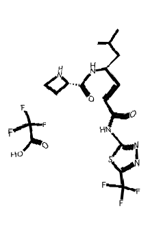 CC(C)C[C@@H](/C=C/C(=O)Nc1nnc(C(F)(F)F)s1)NC(=O)[C@@H]1CCN1.O=C(O)C(F)(F)F